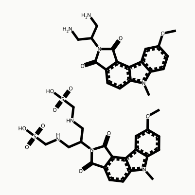 COc1ccc2c(c1)c1c3c(ccc1n2C)C(=O)N(C(CN)CN)C3=O.COc1ccc2c(c1)c1c3c(ccc1n2C)C(=O)N(C(CNCS(=O)(=O)O)CNCS(=O)(=O)O)C3=O